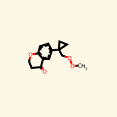 COOCC1(c2ccc3c(c2)C(=O)CCO3)CC1